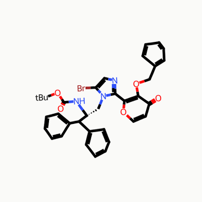 CC(C)(C)OC(=O)N[C@H](Cn1c(Br)cnc1-c1occc(=O)c1OCc1ccccc1)C(c1ccccc1)c1ccccc1